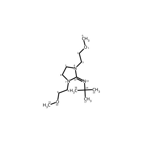 COCCN1CCN(CCOC)C1=NC(C)(C)C